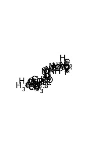 COc1cc2c(Nc3ncc(CC(=O)Nc4cc(F)ccc4F)s3)ncnc2cc1OCCCN1CCC[C@H]1[C](C(C)(C)C)C(C)(C)C